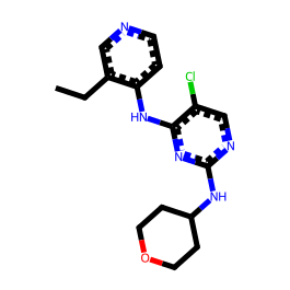 CCc1cnccc1Nc1nc(NC2CCOCC2)ncc1Cl